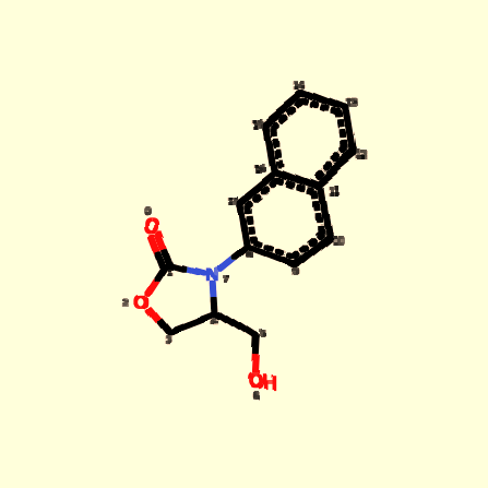 O=C1OCC(CO)N1c1ccc2ccccc2c1